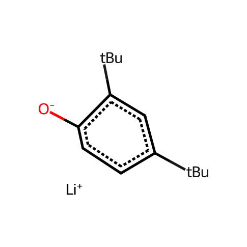 CC(C)(C)c1ccc([O-])c(C(C)(C)C)c1.[Li+]